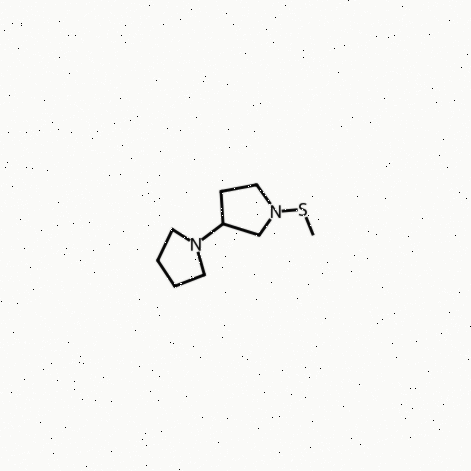 CSN1CCC(N2CCCC2)C1